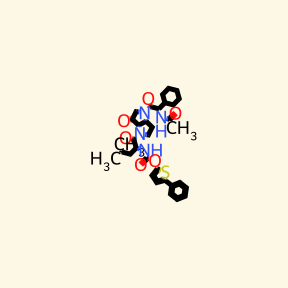 CC(=O)NC(C(=O)N1CC(=O)C2C1CCN2C(=O)C(CC(C)C)NC(=O)Oc1ccc(-c2ccccc2)s1)C1CCCCC1